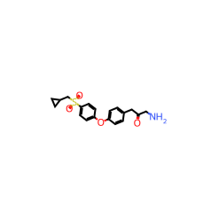 NCC(=O)Cc1ccc(Oc2ccc(S(=O)(=O)CC3CC3)cc2)cc1